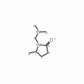 CC1CCC(=O)N1CN(C)C